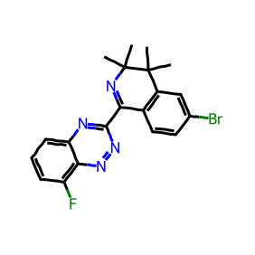 CC1(C)N=C(c2nnc3c(F)cccc3n2)c2ccc(Br)cc2C1(C)C